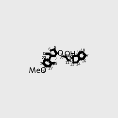 C=C/C(=C\C(=C/C)OCC(O)CN1CCc2ccccc2C1)c1ccc(OC)cc1C